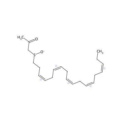 CC/C=C\C/C=C\C/C=C\C/C=C\C/C=C\CC[S+]([O-])CC(C)=O